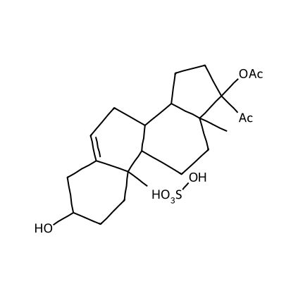 CC(=O)OC1(C(C)=O)CCC2C3CC=C4CC(O)CCC4(C)C3CCC21C.O=S(=O)(O)O